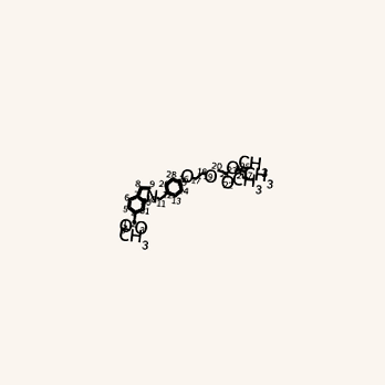 COC(=O)c1ccc2ccn(Cc3ccc(OCCOCC(=O)OC(C)(C)C)cc3)c2c1